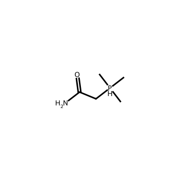 C[PH](C)(C)CC(N)=O